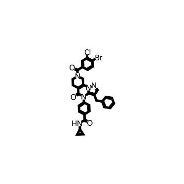 O=C(NC1CC1)c1ccc(-n2c(=O)c3c(n4ncc(Cc5ccccc5)c24)CN(C(=O)c2ccc(Br)c(Cl)c2)CC3)cc1